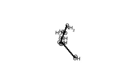 N[C@H](C=O)CCCCNC(=O)[C@@H](N)CCCCNC(=O)CC[C@H](NC(=O)CCCCCCCCCCCCCCCCCCC(=O)O)C(=O)O